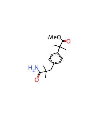 COC(=O)C(C)(C)c1ccc(CC(C)(C)C(N)=O)cc1